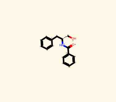 O=C(N[C@@H](CO)Cc1ccccc1)c1ccccc1